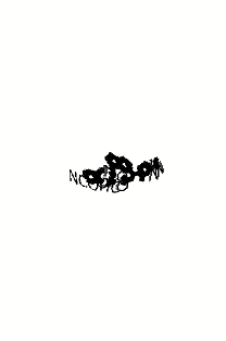 Cc1c(C(CC(=O)OC=O)c2ccc3c(c2)C(N2Cc4ccc(C#N)cc4OC(C)(C)C2)CC3)ccc2c1nnn2C